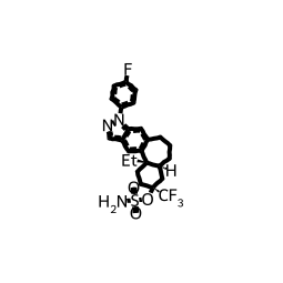 CC[C@]12CC[C@@](OS(N)(=O)=O)(C(F)(F)F)C[C@@H]1CCCc1cc3c(cnn3-c3ccc(F)cc3)cc12